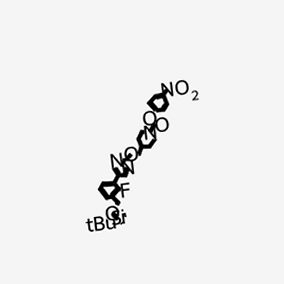 CC(C)(C)[Si](C)(C)OCc1cccc(-c2cnc(OCC3CCN(C(=O)Oc4ccc([N+](=O)[O-])cc4)CC3)nc2)c1F